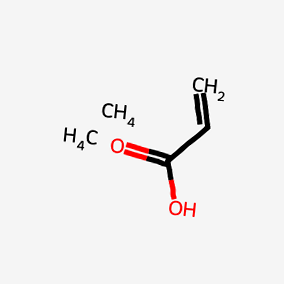 C.C.C=CC(=O)O